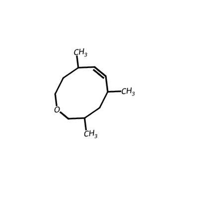 CC1/C=C\C(C)CC(C)COCC1